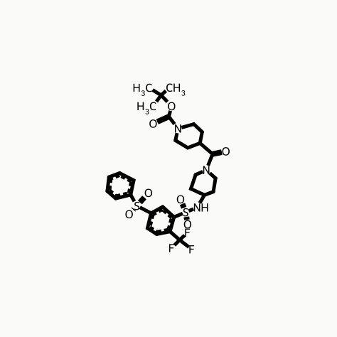 CC(C)(C)OC(=O)N1CCC(C(=O)N2CCC(NS(=O)(=O)c3cc(S(=O)(=O)c4ccccc4)ccc3C(F)(F)F)CC2)CC1